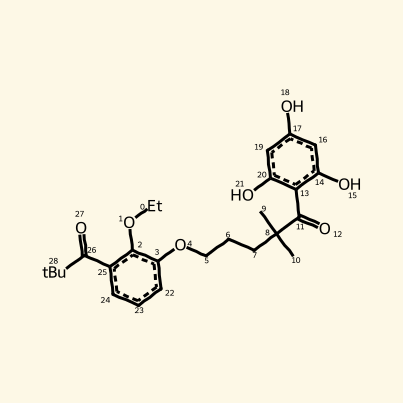 CCOc1c(OCCCC(C)(C)C(=O)c2c(O)cc(O)cc2O)cccc1C(=O)C(C)(C)C